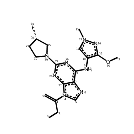 C=C(CC)n1cnc2c(Nc3cn(C)nc3OC)nc(N3CC[C@H](F)C3)nc21